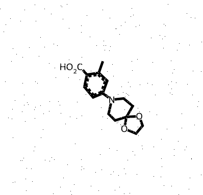 Cc1cc(N2CCC3(CC2)OCCO3)ccc1C(=O)O